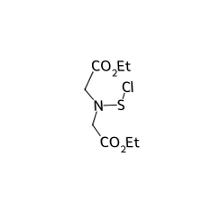 CCOC(=O)CN(CC(=O)OCC)SCl